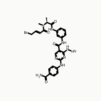 CCCNc1nc(Nc2ccc(C(N)=O)cc2)ncc1C(=O)Nc1cccc(NC(=O)[C@H](C)N(C)C(=O)/C=C/CBr)c1